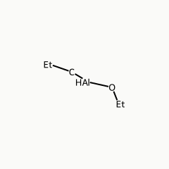 CC[CH2][AlH][O]CC